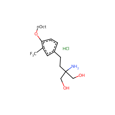 CCCCCCCCOc1ccc(CCC(N)(CO)CO)cc1C(F)(F)F.Cl